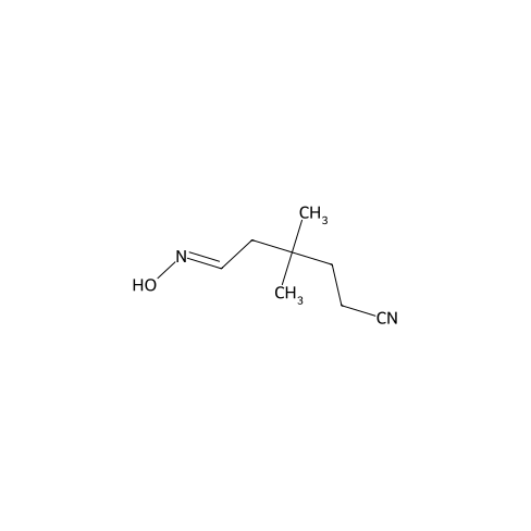 CC(C)(CC=NO)CCC#N